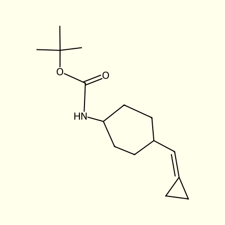 CC(C)(C)OC(=O)NC1CCC(C=C2CC2)CC1